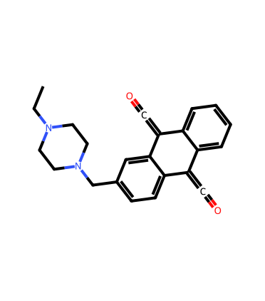 CCN1CCN(Cc2ccc3c(=C=O)c4ccccc4c(=C=O)c3c2)CC1